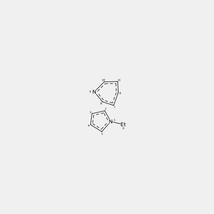 CCn1cccc1.c1ccncc1